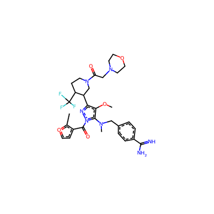 COc1c(C2CN(C(=O)CN3CCOCC3)CCC2C(F)(F)F)nn(C(=O)c2ccoc2C)c1N(C)Cc1ccc(C(=N)N)cc1